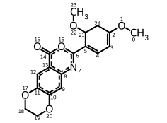 COC1=CC=C(c2nc3cc4c(cc3c(=O)o2)OCCO4)C(OC)C1